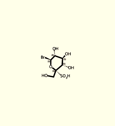 O=S(=O)(O)[C@]1(CO)O[C@@H](Br)[C@H](O)[C@@H](O)[C@@H]1O